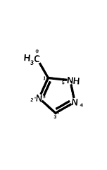 CC1=[N+][C]=NN1